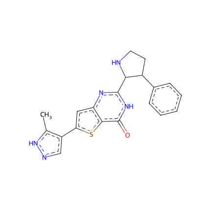 Cc1[nH]ncc1-c1cc2nc(C3NCCC3c3ccccc3)[nH]c(=O)c2s1